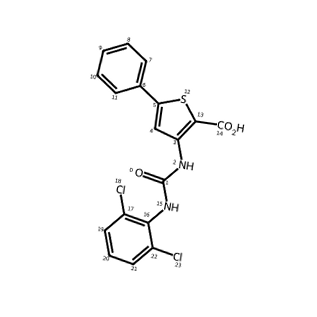 O=C(Nc1cc(-c2ccccc2)sc1C(=O)O)Nc1c(Cl)cccc1Cl